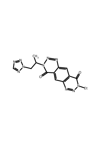 CCn1nnc2cc3c(=O)n(C(C)Cn4ncnn4)nnc3cc2c1=O